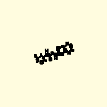 CC(C)CC(C=O)NC(=O)CNC(=O)CN1CCOCC1